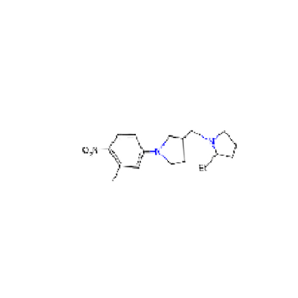 CCC1CCCN1CC1CCN(c2ccc([N+](=O)[O-])c(C)c2)C1